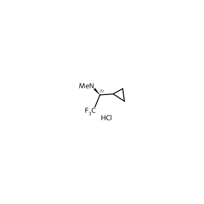 CN[C@@H](C1CC1)C(F)(F)F.Cl